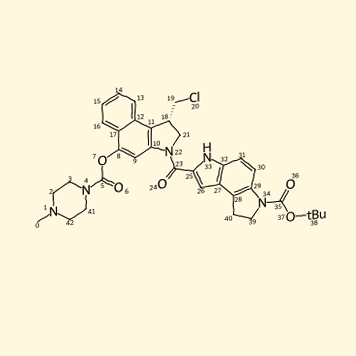 CN1CCN(C(=O)Oc2cc3c(c4ccccc24)[C@H](CCl)CN3C(=O)c2cc3c4c(ccc3[nH]2)N(C(=O)OC(C)(C)C)CC4)CC1